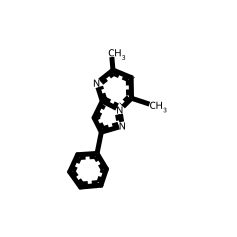 Cc1[c]c(C)n2nc(-c3ccccc3)cc2n1